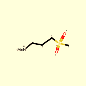 C[N]CCCS(C)(=O)=O